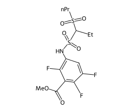 CCCS(=O)(=O)C(CC)S(=O)(=O)Nc1cc(F)c(F)c(C(=O)OC)c1F